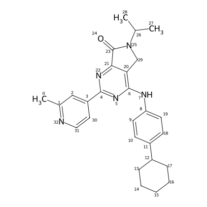 Cc1cc(-c2nc(Nc3ccc(C4CCCCC4)cc3)c3c(n2)C(=O)N(C(C)C)C3)ccn1